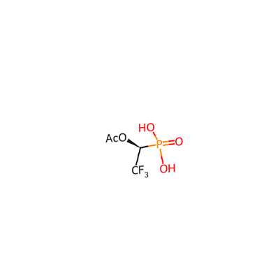 CC(=O)O[C@H](C(F)(F)F)P(=O)(O)O